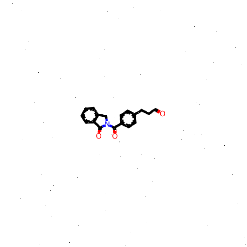 O=CCCc1ccc(C(=O)N2Cc3ccccc3C2=O)cc1